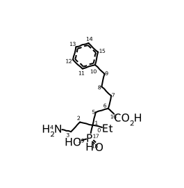 CCC(CCN)(CC(CCCc1ccccc1)C(=O)O)[PH](=O)O